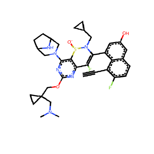 C#Cc1c(F)ccc2cc(O)cc(C3=C(F)c4nc(OCC5(CN(C)C)CC5)nc(N5CC6CCC(C5)N6)c4[S+]([O-])N3CC3CC3)c12